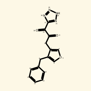 O=C(Cc1cocc1Cc1ccccc1)C(=O)c1nn[nH]n1